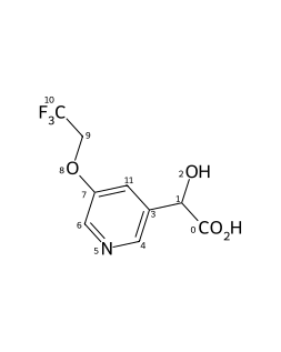 O=C(O)C(O)c1cncc(OCC(F)(F)F)c1